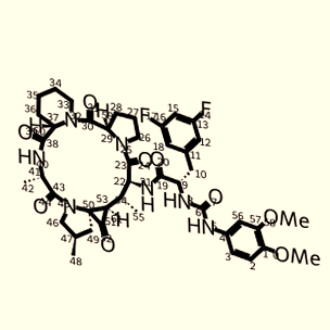 COc1ccc(NC(=O)N[C@@H](Cc2cc(F)cc(F)c2)C(=O)N[C@@H]2C(=O)N3CCC[C@H]3C(=O)N3CCCC[C@H]3C(=O)N[C@@H](C)C(=O)N3C[C@H](C)C[C@]34C(=O)[C@@H]4[C@H]2C)cc1OC